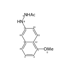 COc1cccc2cc(NNC(C)=O)ccc12